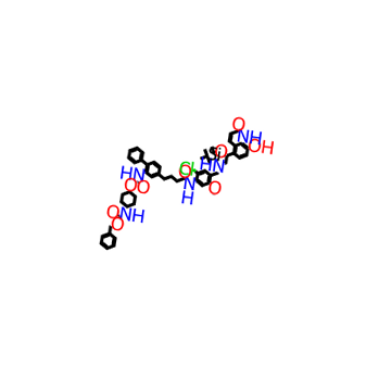 COc1cc(NC(=O)CCCc2ccc(-c3ccccc3)c(NC(=O)O[C@H]3CC[C@H](NC(=O)OCc4ccccc4)CC3)c2)c(Cl)cc1CNCC(O[Si](C)(C)C(C)(C)C)c1ccc(O)c2[nH]c(=O)ccc12